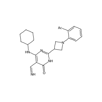 CC(=O)c1ccccc1N1CC(c2nc(NC3CCCCC3)c(C=N)c(=O)[nH]2)C1